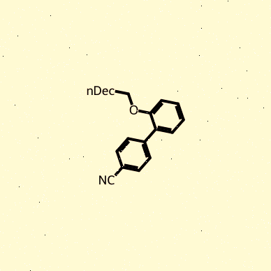 CCCCCCCCCCCOc1ccccc1-c1ccc(C#N)cc1